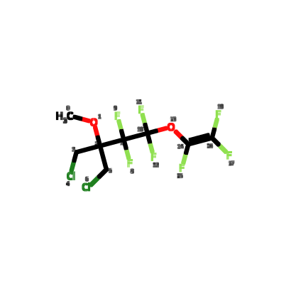 COC(CCl)(CCl)C(F)(F)C(F)(F)OC(F)=C(F)F